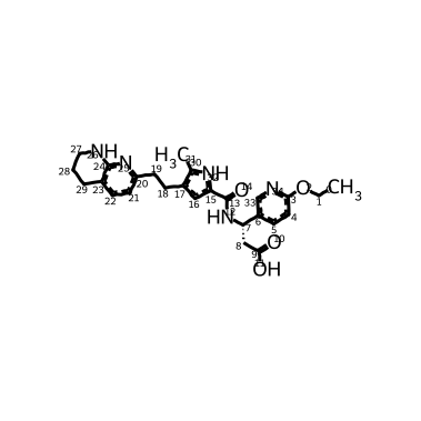 CCOc1ccc([C@H](CC(=O)O)NC(=O)c2cc(CCc3ccc4c(n3)NCCC4)c(C)[nH]2)cn1